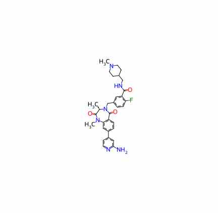 C[C@@H]1C(=O)N(C)c2cc(-c3ccnc(N)c3)ccc2C(=O)N1Cc1ccc(F)c(C(=O)NCC2CCN(C)CC2)c1